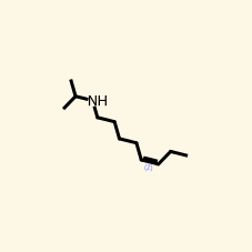 CC/C=C\CCCCNC(C)C